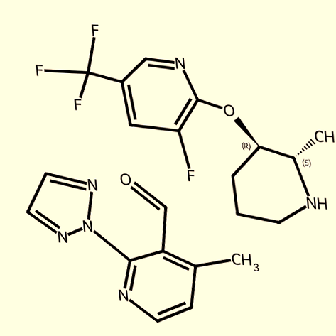 C[C@@H]1NCCC[C@H]1Oc1ncc(C(F)(F)F)cc1F.Cc1ccnc(-n2nccn2)c1C=O